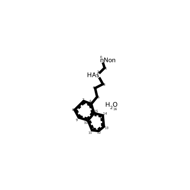 CCCCCCCCCC[AsH]CCCc1cccc2ccccc12.O